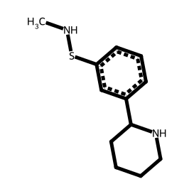 CNSc1cccc(C2CCCCN2)c1